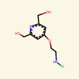 OCc1cc(OCCNCl)cc(CO)n1